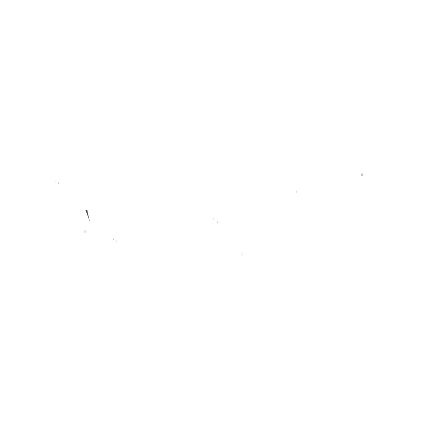 CC(C)(C)OC(=O)N1CCC(C(O)NCCCCN2CCC[C@H]2c2cccnc2)CC1